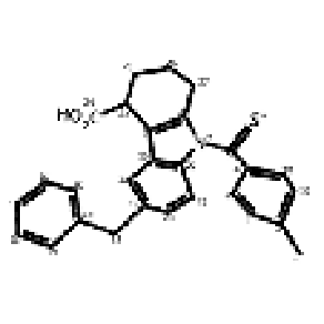 Cc1ccc(C(=S)n2c3c(c4cc(Cc5ccccc5)ccc42)C(C(=O)O)CCC3)cc1